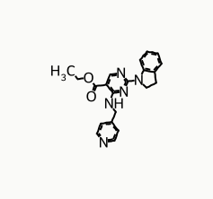 CCOC(=O)c1cnc(N2CCc3ccccc32)nc1NCc1ccncc1